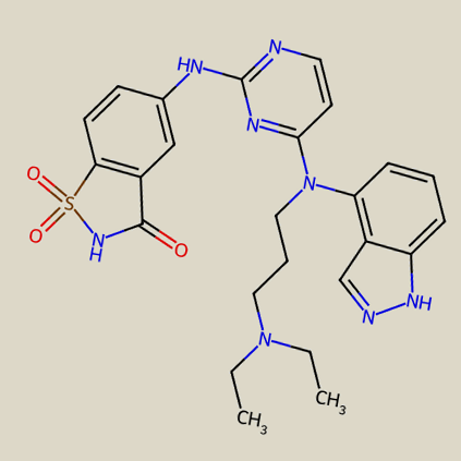 CCN(CC)CCCN(c1ccnc(Nc2ccc3c(c2)C(=O)NS3(=O)=O)n1)c1cccc2[nH]ncc12